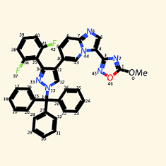 COc1nc(-c2cnc3ccc(-c4cn(C(c5ccccc5)(c5ccccc5)c5ccccc5)nc4-c4c(F)cccc4F)cn23)no1